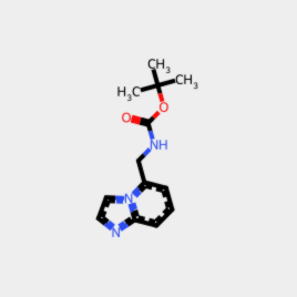 CC(C)(C)OC(=O)NCc1cccc2nccn12